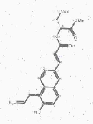 C=CCc1c(O)ccc2cc(/C=C/C(=O)N[C@H](CSC)C(=O)OC)ccc12